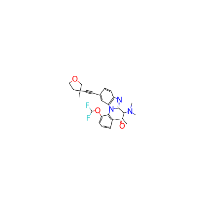 CCC(c1nc2ccc(C#CC3(C)CCOC3)cc2n1-c1c(C=O)cccc1OC(F)F)N(C)C